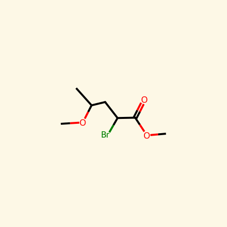 COC(=O)C(Br)CC(C)OC